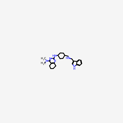 CN(C)c1nc(NC2CCC(CNCc3c[nH]c4ccccc34)CC2)nc2c1CCCC2